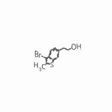 Cc1sc2cc(CCO)ccc2c1Br